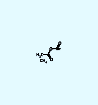 C.CC(=O)[O][Sn]=[O]